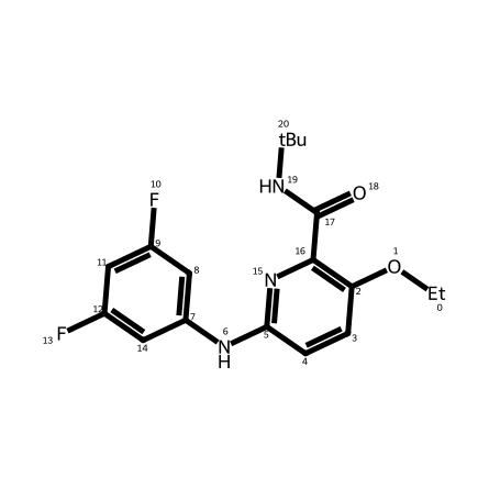 CCOc1ccc(Nc2cc(F)cc(F)c2)nc1C(=O)NC(C)(C)C